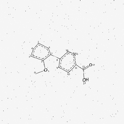 COc1ccccc1-c1ccc(C(=O)O)nc1